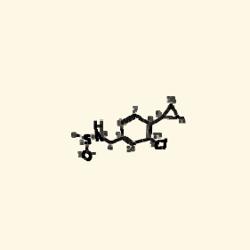 C[S+]([O-])NCc1ccc(C2[CH]C2)c(Cl)c1